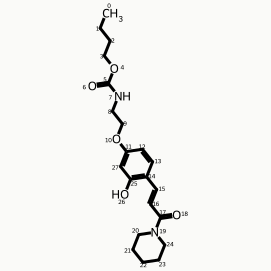 CCCCOC(=O)NCCOc1ccc(/C=C/C(=O)N2CCCCC2)c(O)c1